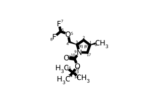 C[C@@H]1C[C@H](COC(F)F)N(C(=O)OC(C)(C)C)C1